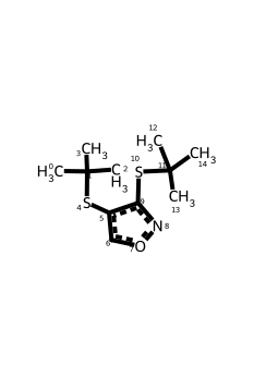 CC(C)(C)Sc1conc1SC(C)(C)C